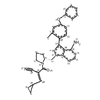 Cc1cc(Oc2ccccc2)ccc1-c1nn(C[C@H]2CCCN2C(=O)C(C#N)=CC2CC2)c2ncnc(N)c12